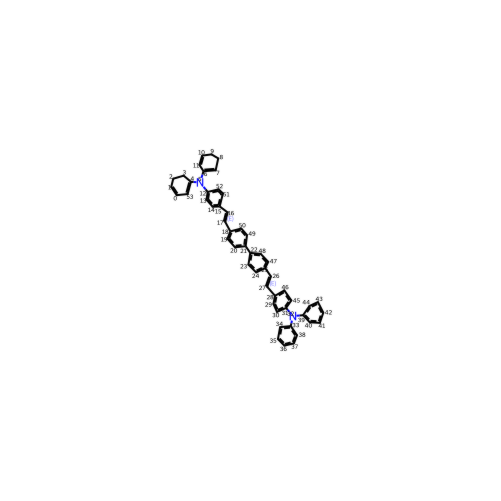 C1=CCCC(N(C2=CCCC=C2)c2ccc(/C=C/c3ccc(-c4ccc(/C=C/c5ccc(N(c6ccccc6)c6ccccc6)cc5)cc4)cc3)cc2)=C1